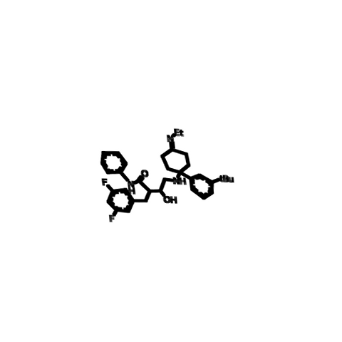 CCN=C1CCC(NCC(O)C(Cc2cc(F)cc(F)c2)C(=O)Nc2ccccc2)(c2cccc(C(C)(C)C)c2)CC1